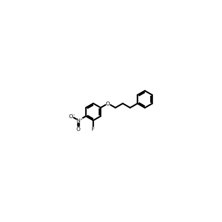 O=[N+]([O-])c1ccc(OCCCc2ccccc2)cc1F